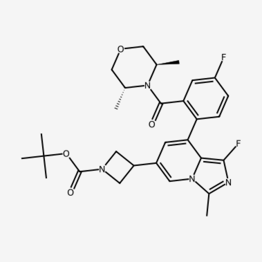 Cc1nc(F)c2c(-c3ccc(F)cc3C(=O)N3[C@H](C)COC[C@H]3C)cc(C3CN(C(=O)OC(C)(C)C)C3)cn12